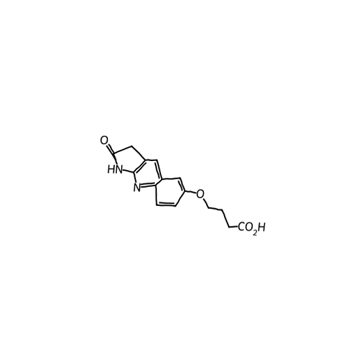 O=C(O)CCCOc1ccc2nc3c(cc2c1)CC(=O)N3